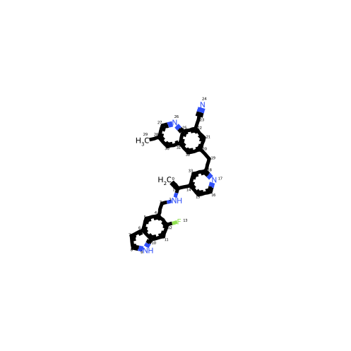 C=C(NCc1cc2cc[nH]c2cc1F)c1ccnc(Cc2cc(C#N)c3ncc(C)cc3c2)c1